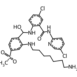 CS(=O)(=O)c1ccc(C(O)Nc2ccc(Cl)cc2C(=O)Nc2ccc(Cl)cn2)c(NCCCCCCCN)c1